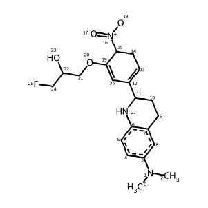 CN(C)c1ccc2c(c1)CCC(C1=CCC([N+](=O)[O-])C(OCC(O)CF)=C1)N2